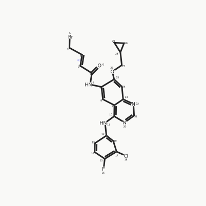 O=C(/C=C/CBr)Nc1cc2c(Nc3ccc(F)c(Cl)c3)ncnc2cc1OCC1CC1